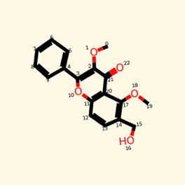 COc1c(-c2ccccc2)oc2ccc(CO)c(OC)c2c1=O